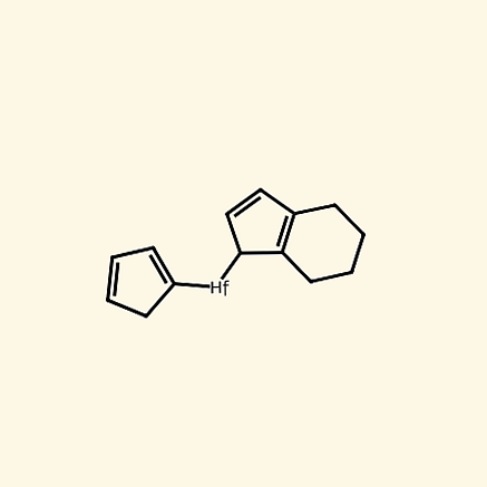 C1=CC[C]([Hf][CH]2C=CC3=C2CCCC3)=C1